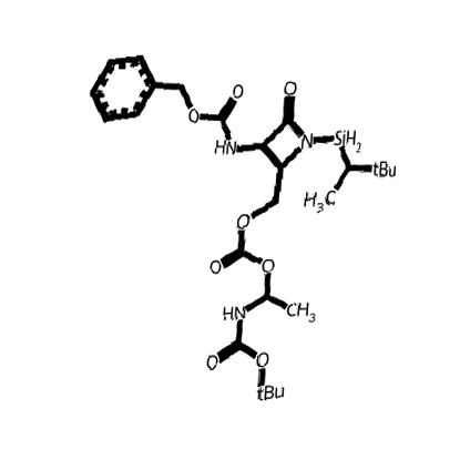 CC(NC(=O)OC(C)(C)C)OC(=O)OCC1C(NC(=O)OCc2ccccc2)C(=O)N1[SiH2]C(C)C(C)(C)C